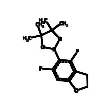 CC1(C)OB(c2c(F)cc3c(c2F)CCO3)OC1(C)C